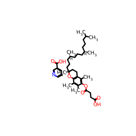 Cc1c(C)c2c(c(C)c1OC(=O)CCC(=O)O)CC[C@@](C)(CCC[C@H](C)CCC[C@H](C)CCCC(C)C)O2.O=C(O)c1cccnc1